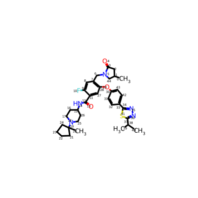 CC1CC(=O)N(Cc2cc(F)c(C(=O)NC3CCN(C4(C)CCCC4)CC3)cc2Oc2ccc(-c3nnc(C(C)C)s3)cc2)C1